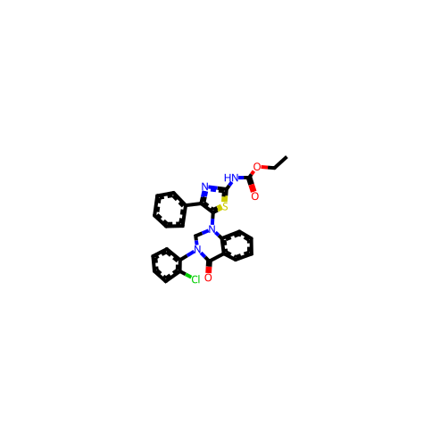 CCOC(=O)Nc1nc(-c2ccccc2)c(N2CN(c3ccccc3Cl)C(=O)c3ccccc32)s1